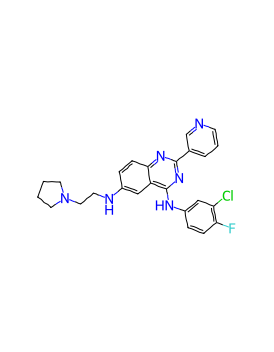 Fc1ccc(Nc2nc(-c3cccnc3)nc3ccc(NCCN4CCCC4)cc23)cc1Cl